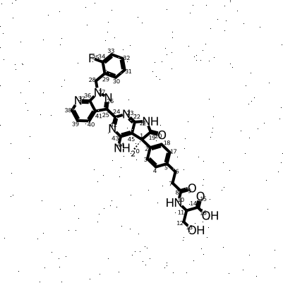 C[C@@]1(c2ccc(CCC(=O)NC(CO)C(=O)O)cc2)C(=O)Nc2nc(-c3nn(Cc4ccccc4F)c4ncccc34)nc(N)c21